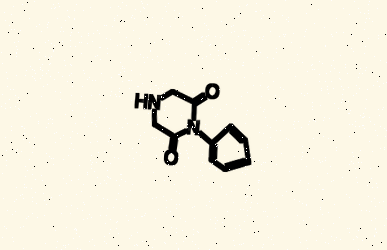 O=C1CNCC(=O)N1c1ccccc1